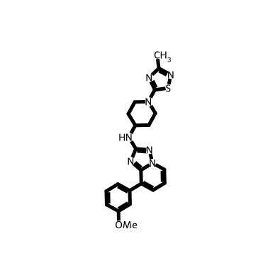 COc1cccc(-c2cccn3nc(NC4CCN(c5nc(C)ns5)CC4)nc23)c1